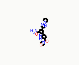 NC(=O)c1cc(-c2cnc(N3CCCCC3)nc2)cc2c1[nH]c1cc(C(=O)N3CCOCC3)ccc12